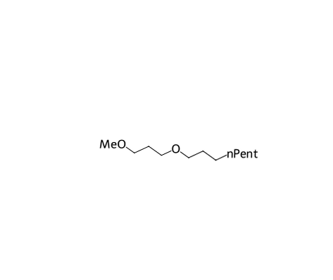 CCCCCCCCOCCCOC